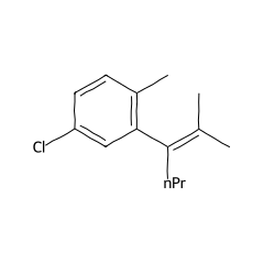 CCCC(=C(C)C)c1cc(Cl)ccc1C